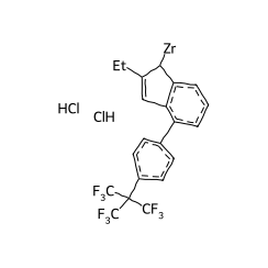 CCC1=Cc2c(-c3ccc(C(C(F)(F)F)(C(F)(F)F)C(F)(F)F)cc3)cccc2[CH]1[Zr].Cl.Cl